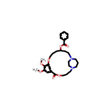 COc1cc2cc(c1OC)OCCCC(OC(=O)c1ccccc1)CCN1CCCN(CCCOC2=O)CC1